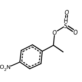 CC(O[SH](=O)=O)c1ccc([N+](=O)[O-])cc1